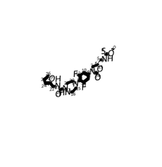 COC(=S)NC[C@H]1CN(c2cc(F)c(N3CCNN(C(=O)NCc4ccco4)CC3)c(F)c2)C(=O)O1